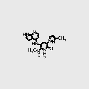 Cc1ccn(-c2cc(Nc3ccnc4[nH]ccc34)c(N(C)C)[nH]c2=O)n1